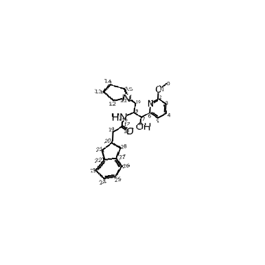 COc1cccc(C(O)C(CN2CCCC2)NC(=O)CC2Cc3ccccc3C2)n1